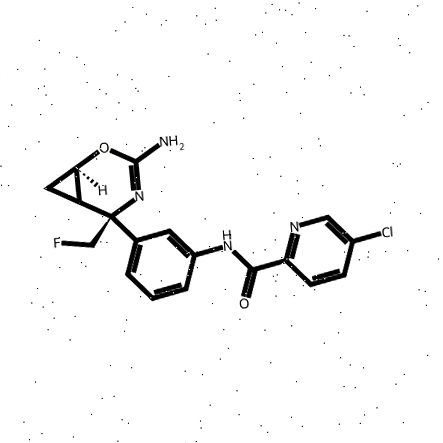 NC1=N[C@](CF)(c2cccc(NC(=O)c3ccc(Cl)cn3)c2)C2C[C@H]2O1